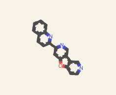 c1ccc2nc(-c3cc4oc5ccncc5c4cn3)ccc2c1